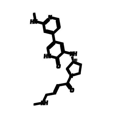 CNCC=CC(=O)N1CC[C@@H](Nc2cc(-c3ccnc(NC)c3)c[nH]c2=O)C1